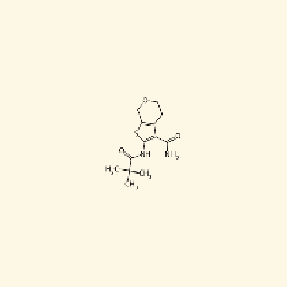 CC(C)(C)C(=O)Nc1sc2c(c1C(N)=O)CCOC2